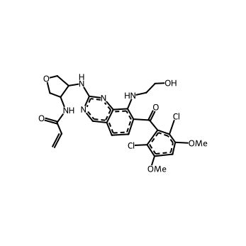 C=CC(=O)NC1COCC1Nc1ncc2ccc(C(=O)c3c(Cl)c(OC)cc(OC)c3Cl)c(NCCO)c2n1